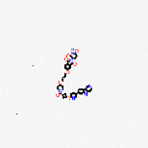 Cn1c2ccncc2c2ccc(-c3ccc(O[C@H]4C[C@H](C(=O)N5CCC(OCCCCOc6ccc7c(c6)C(=O)N(C6CCC(=O)NC6=O)C7=O)CC5)C4)nc3)cc21